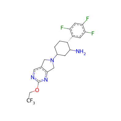 NC1CC(N2Cc3cnc(OCC(F)(F)F)nc3C2)CC[C@@H]1c1cc(F)c(F)cc1F